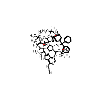 CC(C)[C@@](NC(=O)OC(C)(C)C)(C(=O)O)[C@@H]1[C@H]([C@](NC(=O)OC(C)(C)C)(C(=O)O)C(C)C)[C@@H](c2c[nH]c3c(N=[N+]=[N-])ncnc23)N(C(=O)OC(C)(C)C)[C@H]1COC(c1ccccc1)(c1ccccc1)c1ccccc1